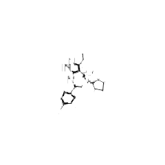 CCc1n[nH]c2c1C(=O)N(C1CCCC1)CC(c1ccc(C)cc1)=N2